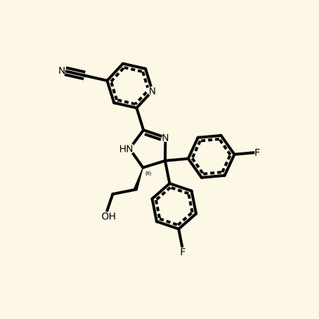 N#Cc1ccnc(C2=NC(c3ccc(F)cc3)(c3ccc(F)cc3)[C@@H](CCO)N2)c1